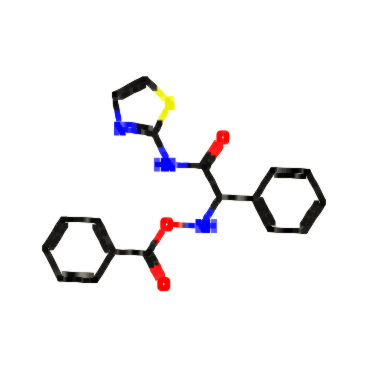 O=C(ONC(C(=O)Nc1nccs1)c1ccccc1)c1ccccc1